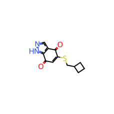 O=C1C(SCC2CCC2)=CC(=O)c2[nH]ncc21